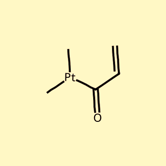 C=C[C](=O)[Pt]([CH3])[CH3]